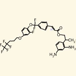 [CH2]C(COC(=O)/C=C/c1ccc(C(F)(F)Oc2ccc(OCCCC(F)(F)C(F)(F)F)cc2F)cc1)c1ccc(N)cc1N